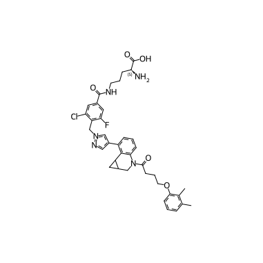 Cc1cccc(OCCCC(=O)N2CC3CC3c3c(-c4cnn(Cc5c(F)cc(C(=O)NCCC[C@H](N)C(=O)O)cc5Cl)c4)cccc32)c1C